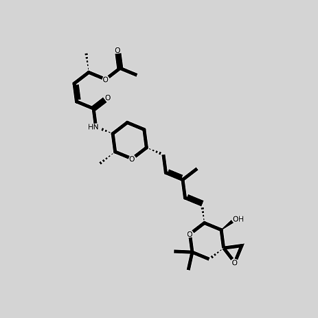 CC(=O)O[C@@H](C)/C=C\C(=O)N[C@@H]1CC[C@H](C/C=C(C)/C=C/[C@H]2OC(C)(C)C[C@@]3(CO3)[C@@H]2O)O[C@@H]1C